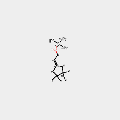 CC(C)[Si](OCC=C1CC(C)(C)C(C)(C)C1)(C(C)C)C(C)C